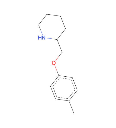 Cc1ccc(OCC2CCCCN2)cc1